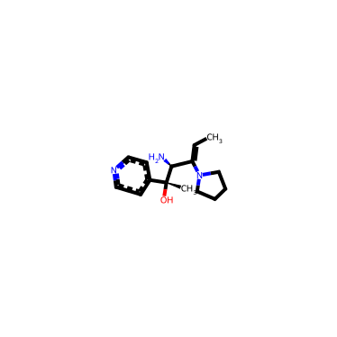 CC=C([C@H](N)[C@](C)(O)c1ccncc1)N1CCCC1